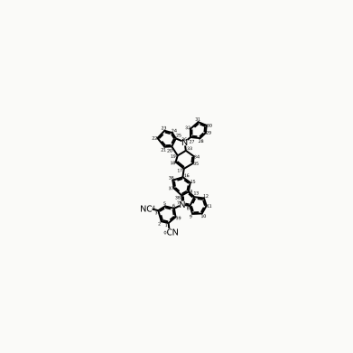 N#Cc1cc(C#N)cc(-n2c3ccccc3c3cc(C4=CC5c6ccccc6N(c6ccccc6)C5C=C4)ccc32)c1